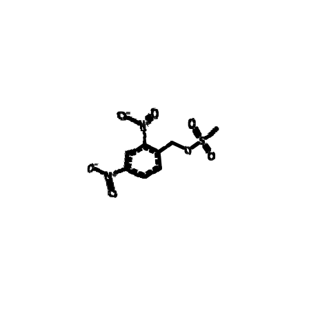 CS(=O)(=O)OCc1ccc([N+](=O)[O-])cc1[N+](=O)[O-]